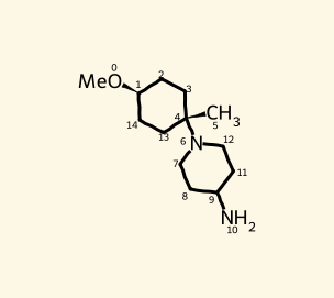 CO[C@H]1CC[C@](C)(N2CCC(N)CC2)CC1